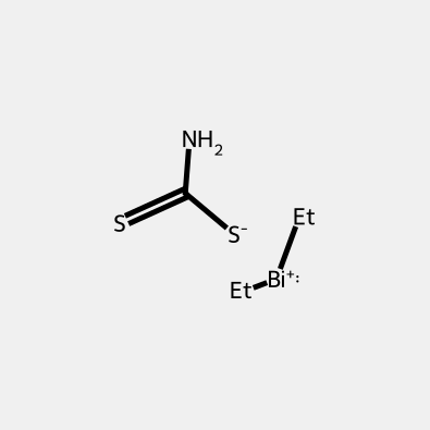 C[CH2][Bi+][CH2]C.NC(=S)[S-]